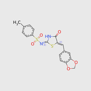 Cc1ccc(S(=O)(=O)/N=C2\NC(=O)/C(=C/c3ccc4c(c3)OCO4)S2)cc1